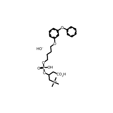 C[N+](C)(C)CC(CC(=O)O)OP(=O)(O)OCCCCOc1cccc(Oc2ccccc2)c1.[OH-]